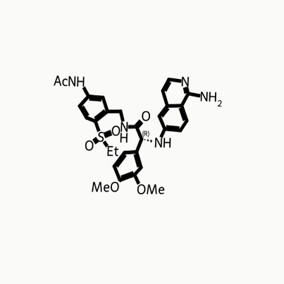 CCS(=O)(=O)c1ccc(NC(C)=O)cc1CNC(=O)[C@H](Nc1ccc2c(N)nccc2c1)c1ccc(OC)c(OC)c1